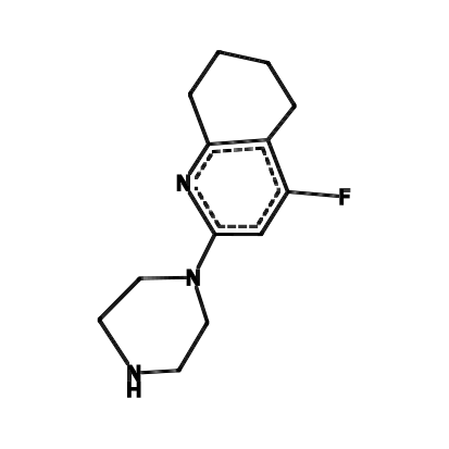 Fc1cc(N2CCNCC2)nc2c1CCCC2